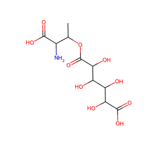 CC(OC(=O)C(O)C(O)C(O)C(O)C(=O)O)C(N)C(=O)O